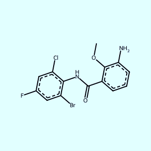 COc1c(N)cccc1C(=O)Nc1c(Cl)cc(F)cc1Br